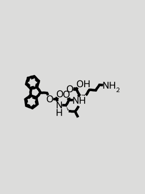 CC(C)C[C@H](NC(=O)OCC1c2ccccc2-c2ccccc21)C(=O)N[C@@H](CCCCN)C(=O)O